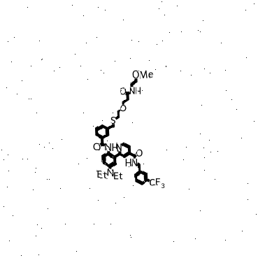 CCN(CC)c1ccc(NC(=O)c2cccc(CSCCOCCC(=O)NCCOC)c2)c(-c2cc(C(=O)NCc3cccc(C(F)(F)F)c3)ccn2)c1